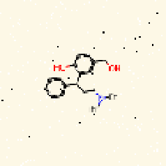 CCN(CCC(c1ccccc1)c1cc(CO)ccc1O)C(C)C